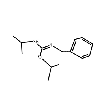 CC(C)NC(=NCc1ccccc1)OC(C)C